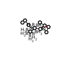 Bc1c(B)c(B)c2c(c1B)c1c(B)c(-c3ccc4c(c3)c3c(-c5ccccc5)cccc3n4-c3ccccc3-c3ccccc3)c(B)c(B)c1n2-c1ccc(-c2cccc3ccccc23)cc1